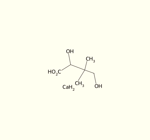 CC(C)(CO)C(O)C(=O)O.[CaH2]